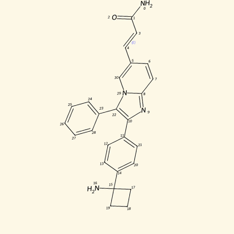 NC(=O)/C=C/c1ccc2nc(-c3ccc(C4(N)CCC4)cc3)c(-c3ccccc3)n2c1